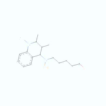 CC(=O)N1c2ccccc2C(N(P)CCCCCO)C(C)C1C